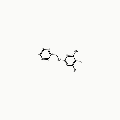 Cc1c(F)cc(NCc2ccccc2)cc1Br